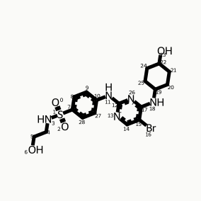 O=S(=O)(NCCO)c1ccc(Nc2ncc(Br)c(NC3CCC(O)CC3)n2)cc1